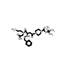 CCCN(CC(=O)O)C(=O)C(CC(=O)N1CCN(C(=O)OC(C)(C)C)CC1)NSCc1ccccc1